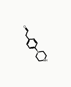 O=CCc1ccc(N2CCNCC2)cc1